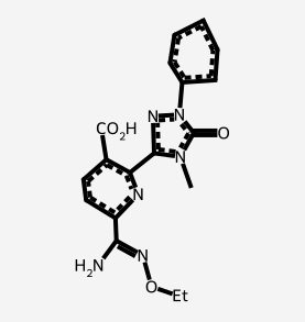 CCON=C(N)c1ccc(C(=O)O)c(-c2nn(-c3ccccc3)c(=O)n2C)n1